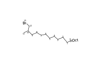 CCCCCCCCCCCCCCCCCC(C)CBr